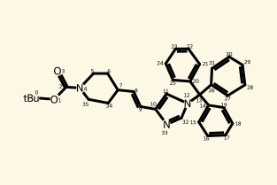 CC(C)(C)OC(=O)N1CCC(C=Cc2cn(C(c3ccccc3)(c3ccccc3)c3ccccc3)cn2)CC1